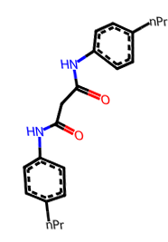 CCCc1ccc(NC(=O)CC(=O)Nc2ccc(CCC)cc2)cc1